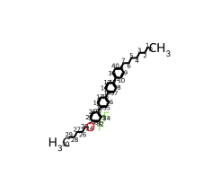 CCCCCCCCc1ccc(-c2ccc(-c3ccc(-c4ccc(OCCCCCC)c(F)c4F)cc3)cc2)cc1